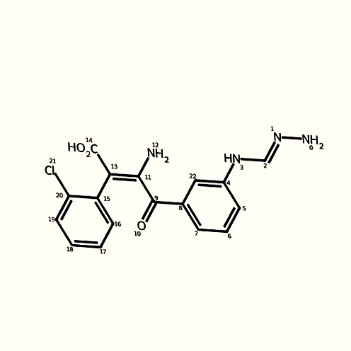 NN=CNc1cccc(C(=O)C(N)=C(C(=O)O)c2ccccc2Cl)c1